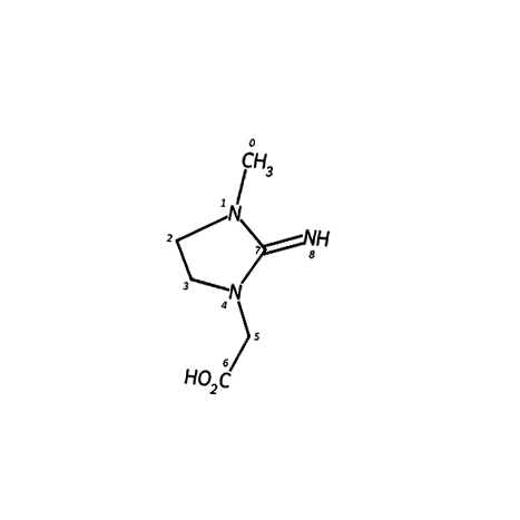 CN1CCN(CC(=O)O)C1=N